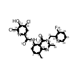 Cc1ccc(NC(=O)c2cc(Cl)c(O)c(Cl)n2)c2c(=O)n(Cc3ncccc3F)c(C)nc12